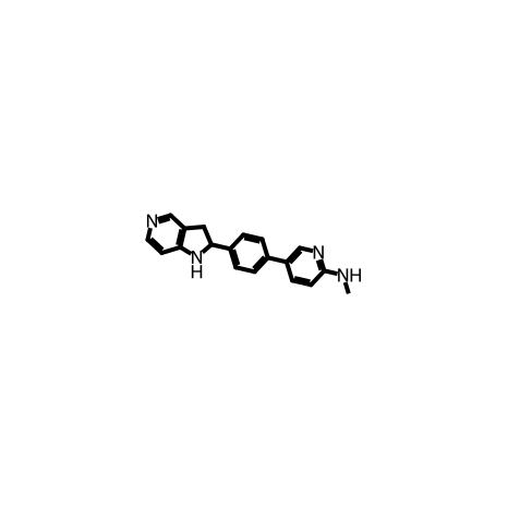 CNc1ccc(-c2ccc(C3Cc4cnccc4N3)cc2)cn1